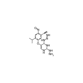 C#Cc1cc(OC2=CNC(NN)NC2NN=N)c(C(C)C)cc1N=O